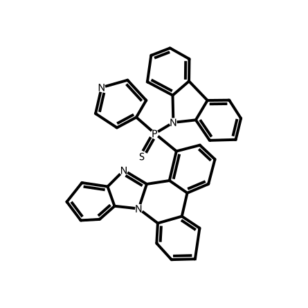 S=P(c1ccncc1)(c1cccc2c3ccccc3n3c4ccccc4nc3c12)n1c2ccccc2c2ccccc21